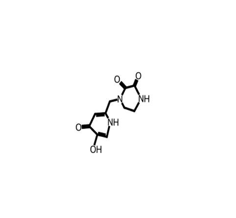 O=C1NCCN(Cc2cc(=O)c(O)c[nH]2)C1=O